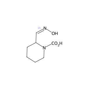 O=C(O)N1CCCCC1/C=N\O